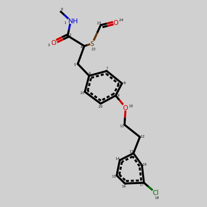 CNC(=O)C(Cc1ccc(OCCc2cccc(Cl)c2)cc1)SC=O